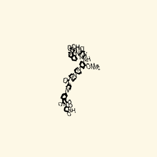 COc1cc(N2CCC(N3CCN(C(=O)[C@H]4CCN(c5ccc6c(c5)C(=O)N(C5CCC(=O)NC5=O)C6=O)C4)CC3)CC2)ccc1Nc1ncc(Cl)c(Nc2cccc3c2N(S(C)(=O)=O)CC3)n1